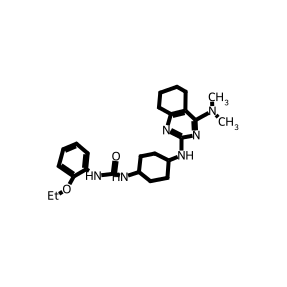 CCOc1ccccc1NC(=O)NC1CCC(Nc2nc3c(c(N(C)C)n2)CCCC3)CC1